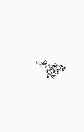 Cc1cc(C(F)(F)F)cc(N2CCC[C@H]2C(=O)N(CCC(N)=O)c2ccc(F)c(Cl)c2)n1